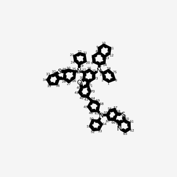 c1ccc(N(c2ccc3ccccc3c2)c2cc(N(c3ccccc3)c3ccc4c(c3)sc3ccccc34)c3oc4ccc(-c5ccc(N(c6ccccc6)c6ccc7sc8cccnc8c7c6)cc5)cc4c3c2)cc1